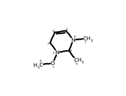 CON1CC=CN(C)C1C